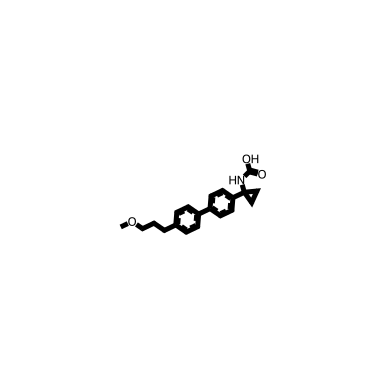 COCCCc1ccc(-c2ccc(C3(NC(=O)O)CC3)cc2)cc1